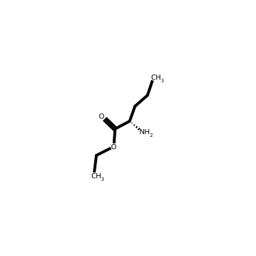 CCC[C@H](N)C(=O)OCC